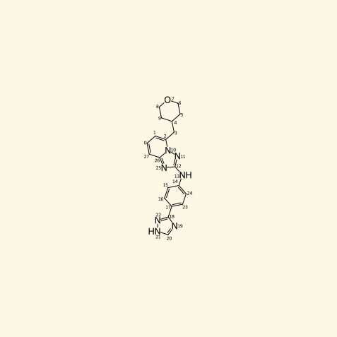 c1cc(CC2CCOCC2)n2nc(Nc3ccc(-c4nc[nH]n4)cc3)nc2c1